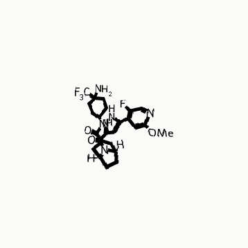 COc1cc(-c2cc(C(=O)N3[C@@H]4CC[C@H]3CC(C(=O)NC3CCC(N)(C(F)(F)F)CC3)C4)n[nH]2)c(F)cn1